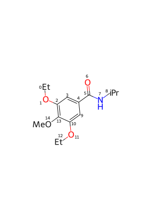 CCOc1cc(C(=O)NC(C)C)cc(OCC)c1OC